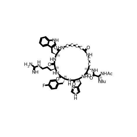 CCCC[C@H](NC(C)=O)C(=O)N[C@H]1CCNC(=O)CCCCNC(=O)[C@H](Cc2c[nH]c3ccccc23)NC(=O)[C@H](CCCNC(=N)N)NC(=O)[C@@H](Cc2ccc(F)cc2)NC(=O)[C@H](Cc2c[nH]cn2)NC1=O